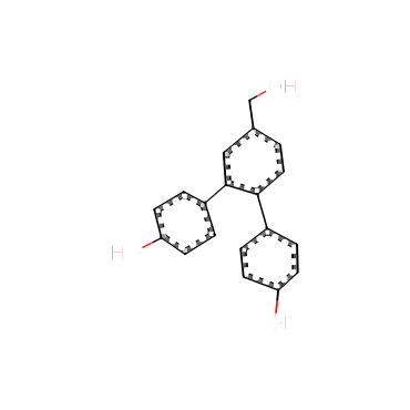 OCc1ccc(-c2ccc(O)cc2)c(-c2ccc(O)cc2)c1